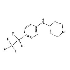 FC(F)(F)C(F)(F)c1ccc(NC2CC[N]CC2)cc1